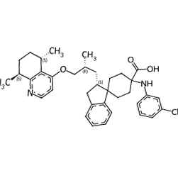 C[C@@H](COc1ccnc2c1[C@@H](C)CC[C@@H]2C)C[C@H]1Cc2ccccc2C12CCC(Nc1cccc(Cl)c1)(C(=O)O)CC2